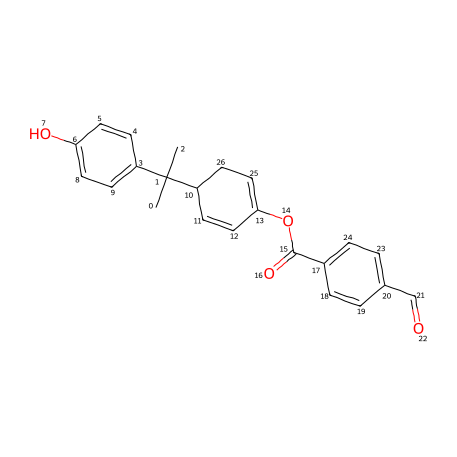 CC(C)(c1ccc(O)cc1)C1C=CC(OC(=O)c2ccc(C=O)cc2)=CC1